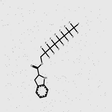 O=C(OCC(F)(F)C(F)(F)C(F)(F)C(F)(F)C(F)(F)C(F)(F)C(F)(F)F)C1Cc2ccccc2N1